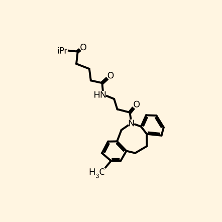 Cc1ccc2c(c1)CCc1ccccc1N(C(=O)CCNC(=O)CCCC(=O)C(C)C)C2